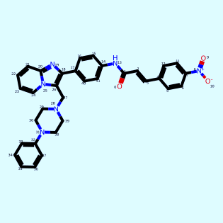 O=C(/C=C/c1ccc([N+](=O)[O-])cc1)Nc1ccc(-c2nc3ccccn3c2CN2CCN(c3ccccc3)CC2)cc1